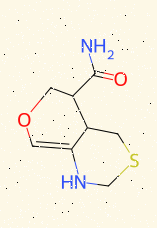 NC(=O)C1COC=C2NCSCC21